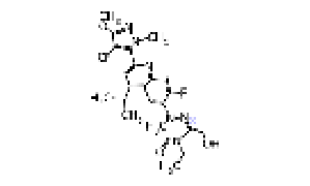 CCN(C=O)/C(CO)=N\N(C)c1cc2c(C(C)C)cc(-c3c(Cl)c(OC)nn3C)nc2cc1F